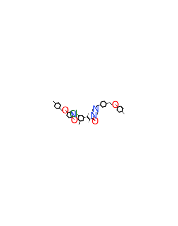 CC(C(=O)N1CCN(Cc2ccc(CCOc3ccc(C)cc3)cc2)CC1)=C(C)c1cc(C)c(Oc2ccc(OCc3ccc(C)cc3)cn2)c(Cl)c1